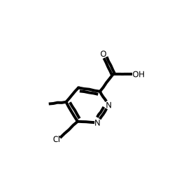 Cc1cc(C(=O)O)nnc1Cl